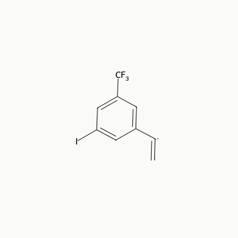 C=[C]c1cc(I)cc(C(F)(F)F)c1